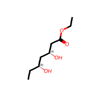 CCOC(=O)C[C@H](O)C[C@H](O)CC